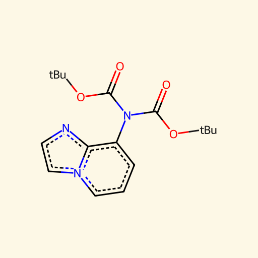 CC(C)(C)OC(=O)N(C(=O)OC(C)(C)C)c1cccn2ccnc12